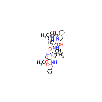 COC(=O)C(NC(=O)Cc1ccccc1)[C@@H]1N[C@H](C(=O)NC[C@@H](O)CN2CCC3CCCCC3[C@H]2C(=O)NC(C)(C)C)C(C)(C)S1